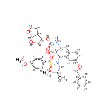 COc1ccc(S(=O)(=O)N(CC(C)C)C[C@H](O)C(Cc2ccc(OCc3ccccc3)cc2)NC(=O)OC2COC3OCCC23)cc1